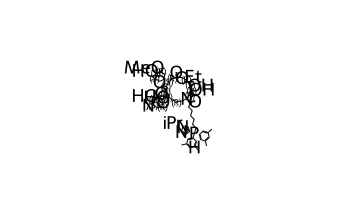 CC[C@H]1OC(=O)[C@H](C)[C@@H](C2C[C@@](C)(OC)[C@@H](O)[C@H](C)O2)[C@H](C)[C@@H](O[C@@H]2O[C@H](C)C[C@H](N(C)C)[C@H]2O)[C@](C)(O)C[C@@H](C)CN(C(=O)CCCCCC[PH](c2cc(C)cc(C)c2)(c2cc(C)cc(C)c2)c2cnn(C(C)C)c2)[C@H](C)[C@@H](O)[C@]1(C)O